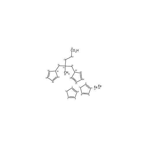 C1=CCC=C1.C1=CCC=C1.CC(CCC(=O)O)(CC1C=CC=C1)CC1C=CC=C1.[Fe].[Fe]